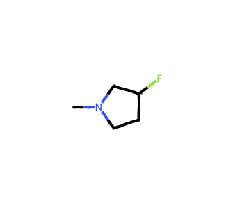 CN1CC[C](F)C1